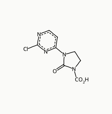 O=C(O)N1CCN(c2ccnc(Cl)n2)C1=O